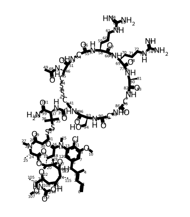 C=C/C=C(\C)Cc1cc(OC)c(Cl)c(N(C)C(=O)CC[C@@]2(OC(=O)[C@H](C)N(C)C(=O)CCSSC(C)(C)[C@H](NC(=O)[C@@H]3CSSC[C@H](NC(C)=O)C(=O)NCC(=O)N[C@@H](CCCNC(=N)N)C(=O)N[C@@H](CCCNC(=N)N)C(=O)N[C@@H](C)C(=O)NCC(=O)NCC(=O)N[C@@H](CO)C(=O)N3)C(N)=O)O[C@]3([C@@H](C)OC)C[C@H](OC(=O)N3)[C@@H](C)[C@@H]3O[C@]32C)c1